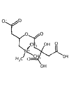 C[N+](C)(C)CC(CC(=O)[O-])OC(=O)CC(O)(CC(=O)O)C(=O)O